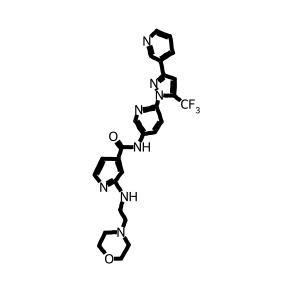 O=C(Nc1ccc(-n2nc(-c3cccnc3)cc2C(F)(F)F)nc1)c1ccnc(NCCN2CCOCC2)c1